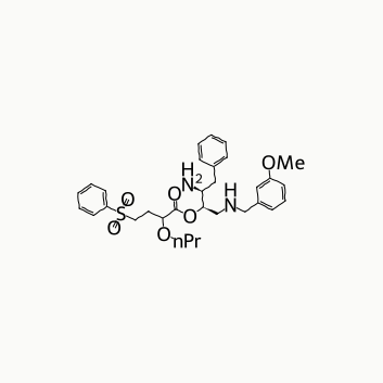 CCCOC(CCS(=O)(=O)c1ccccc1)C(=O)O[C@H](CNCc1cccc(OC)c1)[C@@H](N)Cc1ccccc1